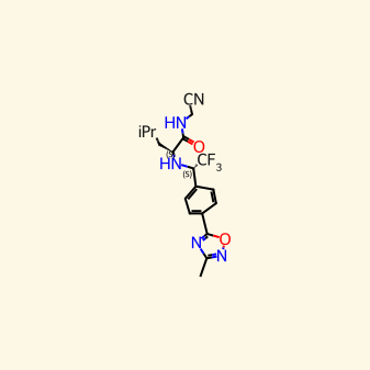 Cc1noc(-c2ccc([C@H](N[C@@H](CC(C)C)C(=O)NCC#N)C(F)(F)F)cc2)n1